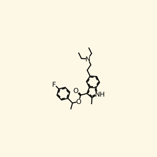 CCN(CC)CCc1ccc2[nH]c(C)c(C(=O)OC(C)c3ccc(F)cc3)c2c1